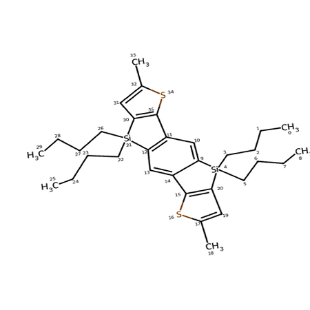 CCCC[Si]1(CCCC)c2cc3c(cc2-c2sc(C)cc21)[Si](CCCC)(CCCC)c1cc(C)sc1-3